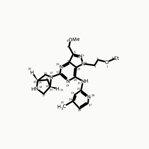 CCOCCn1nc(COC)c2nc(N3C[C@@H]4C[C@H]3CN4)nc(Nc3cc(C)ccn3)c21